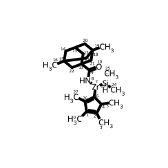 CC1=C(C)C(C)[C]([Zr]([NH]C(=O)C23CC4CC(C)(CC(C)(C4)C2)C3)[SiH](C)C)=C1C